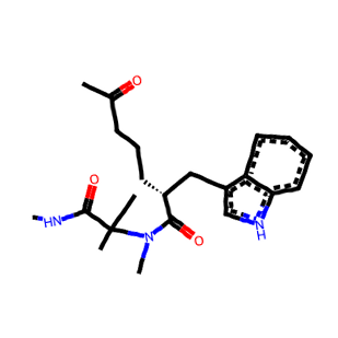 CNC(=O)C(C)(C)N(C)C(=O)[C@H](CCCC(C)=O)Cc1c[nH]c2ccccc12